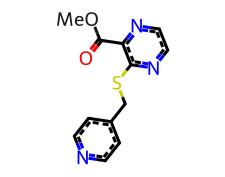 COC(=O)c1nccnc1SCc1ccncc1